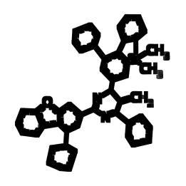 C=C1C(c2ccccc2)=NC(c2cc(-c3ccccc3)c3c(c2)oc2ccccc23)=NC1c1cc(-c2ccccc2)c2c(c1)[Si](C)(C)c1ccccc1-2